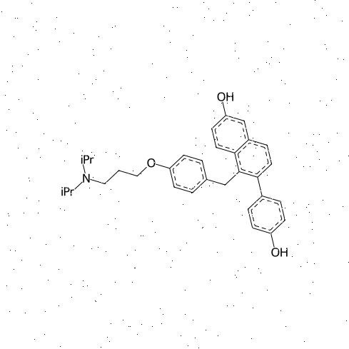 CC(C)N(CCCOc1ccc(Cc2c(-c3ccc(O)cc3)ccc3cc(O)ccc23)cc1)C(C)C